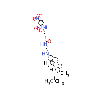 CC(C)CCC[C@@H](C)[C@H]1CCC2C3CC=C4C[C@@H](NCCCNC(=O)CCCCCNc5ccc([N+](=O)[O-])cc5[N+](=O)[O-])CC[C@]4(C)C3CC[C@@]21C